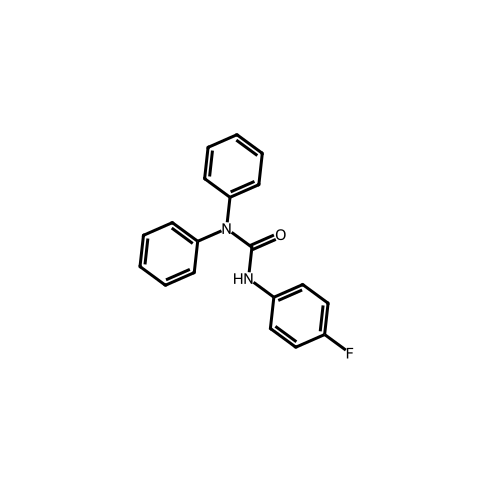 O=C(Nc1ccc(F)cc1)N(c1ccccc1)c1ccccc1